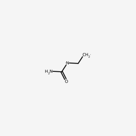 [CH2]C[N]C(N)=O